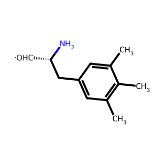 Cc1cc(C[C@@H](N)[C]=O)cc(C)c1C